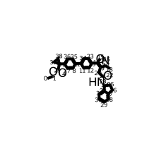 CCOC(=O)C1(c2ccc(-c3ccc(-c4onc(C)c4CC(=O)N[C@H]4CCc5ccccc54)cc3)cc2)CC1